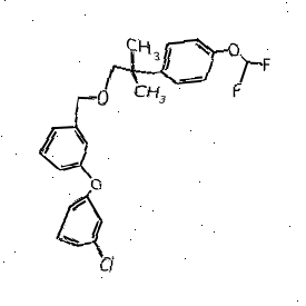 CC(C)(COCc1cccc(Oc2cccc(Cl)c2)c1)c1ccc(OC(F)F)cc1